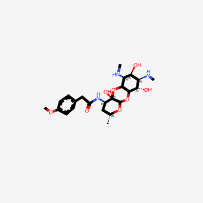 CN[C@@H]1[C@H](O)[C@H](NC)C2O[C@]3(O)C(OC2[C@H]1O)O[C@H](C)C[C@H]3NC(=O)Cc1ccc(OC)cc1